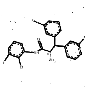 CCc1c(F)cccc1NC(=O)[C@@H](N)C(c1cccc(F)c1)c1cccc(F)c1